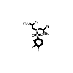 CCCCC(CC)CN(CC(CC)CCCC)S(=O)(=O)c1ccc(F)c(F)c1